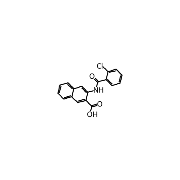 O=C(Nc1cc2ccccc2cc1C(=O)O)c1ccccc1Cl